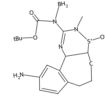 BN(C(=O)OC(C)(C)C)C1=NC2c3cc(N)ccc3CCCC2[S+]([O-])N1C